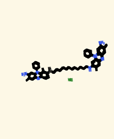 Cc1cc2nc3cc(C)c(NCCCCCCCCCCCC[AsH]c4ccc5nc6cc(C)c(N)cc6[n+](-c6ccccc6)c5c4C)cc3[n+](-c3ccccc3)c2cc1N.Cl